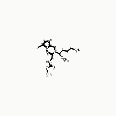 CCCC[C@@H](CC)N(Cc1ncc(I)[nH]1)C(=O)CNC(=O)OC